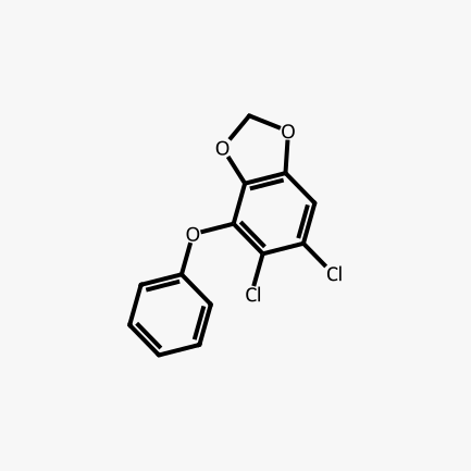 Clc1cc2c(c(Oc3ccccc3)c1Cl)OCO2